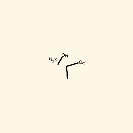 CCO.CO.S